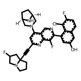 Oc1cc(-c2ncc3c(N4C[C@H]5CC[C@@H](C4)N5)cc(C#CC45CCCN4CC(F)C5)nc3c2F)c2c(Cl)c(F)ccc2c1